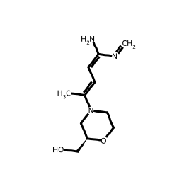 C=N/C(N)=C\C=C(/C)N1CCO[C@@H](CO)C1